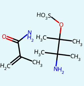 C=C(C)C(N)=O.CC(C)(N)C(C)(C)OS(=O)(=O)O